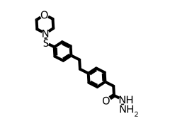 NNC(=O)Cc1ccc(CCc2ccc(SN3CCOCC3)cc2)cc1